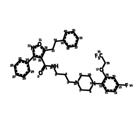 O=C(NCCCN1CCN(c2ccc(F)cc2OCC(F)(F)F)CC1)c1c(-c2ccccc2)noc1CCc1ccccc1